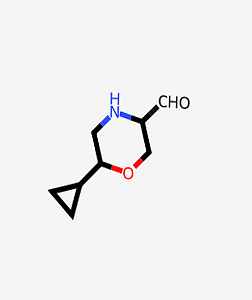 O=CC1COC(C2CC2)CN1